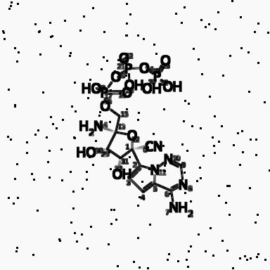 N#C[C@@]1(c2ccc3c(N)ncnn23)O[C@](N)(COP(=O)(O)OP(=O)(O)OP(=O)(O)O)[C@@H](O)[C@H]1O